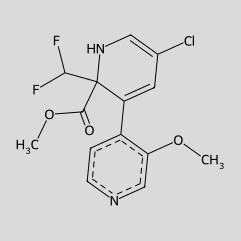 COC(=O)C1(C(F)F)NC=C(Cl)C=C1c1ccncc1OC